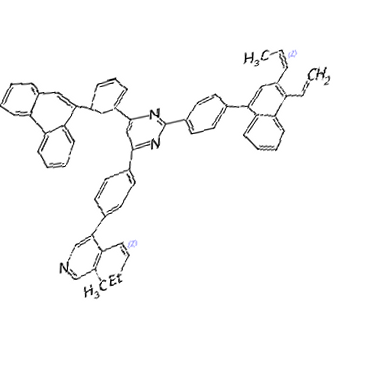 C=Cc1c(/C=C\C)cc(-c2ccc(-c3nc(C4=CC=CC(c5cc6ccccc6c6ccccc56)C4)cc(-c4ccc(-c5cncc(C)c5/C=C\CC)cc4)n3)cc2)c2ccccc12